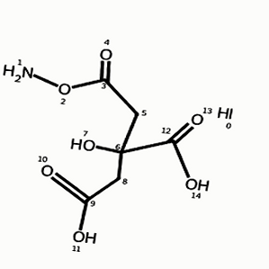 I.NOC(=O)CC(O)(CC(=O)O)C(=O)O